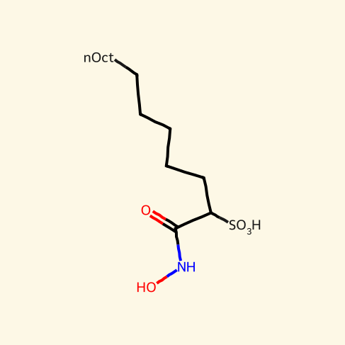 CCCCCCCCCCCCCC(C(=O)NO)S(=O)(=O)O